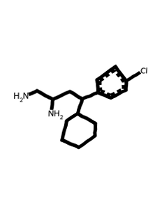 NCC(N)CC(c1ccc(Cl)cc1)C1CCCCC1